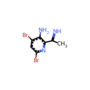 CC(=N)c1nc(Br)cc(Br)c1N